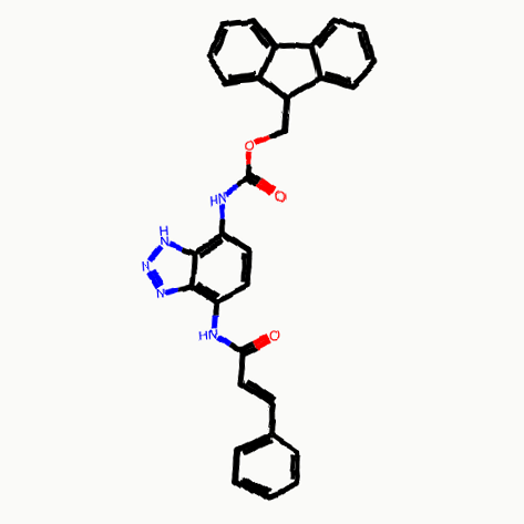 O=C(C=Cc1ccccc1)Nc1ccc(NC(=O)OCC2c3ccccc3-c3ccccc32)c2[nH]nnc12